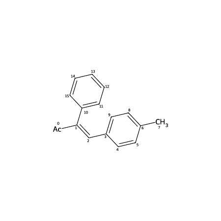 CC(=O)C(=Cc1ccc(C)cc1)c1ccccc1